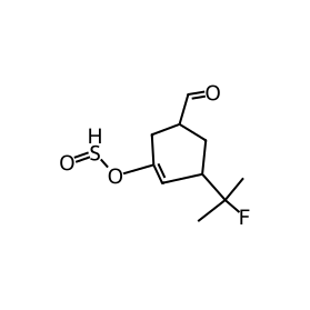 CC(C)(F)C1C=C(O[SH]=O)CC(C=O)C1